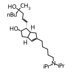 CCCC[C@](C)(O)C/C=C/[C@@H]1[C@H]2CC(CCCCCN(C(C)C)C(C)C)=C[C@H]2C[C@H]1O